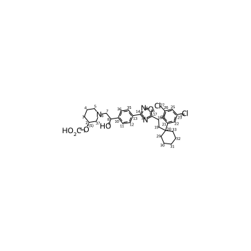 O=C(O)O[C@H]1CCCN(CC(O)c2ccc(-c3noc(CCC4(c5cc(Cl)cc(Cl)c5)CCCCC4)n3)cc2)C1